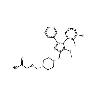 CSc1c(-c2cccc(F)c2F)c(-c2ccccc2)nn1C[C@H]1CC[C@@H](COCC(=O)O)CC1